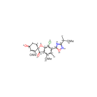 COC1=CC(=O)CC[C@]12Oc1c(Cl)c(-c3nc(C(C)OC)no3)c(C)c(OC)c1C2=O